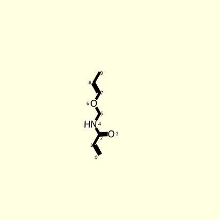 C=CC(=O)NCOC=CC